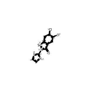 S=c1c2cc(Cl)c(Cl)cc2[se]n1-c1nccs1